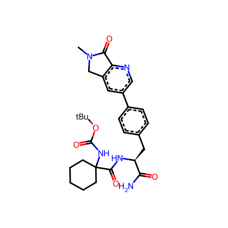 CN1Cc2cc(-c3ccc(C[C@H](NC(=O)C4(NC(=O)OC(C)(C)C)CCCCC4)C(N)=O)cc3)cnc2C1=O